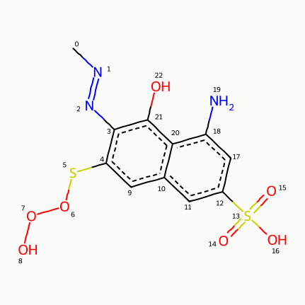 CN=Nc1c(SOOO)cc2cc(S(=O)(=O)O)cc(N)c2c1O